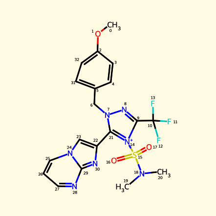 COc1ccc(Cn2nc(C(F)(F)F)[n+](S(=O)(=O)N(C)C)c2-c2cn3cccnc3n2)cc1